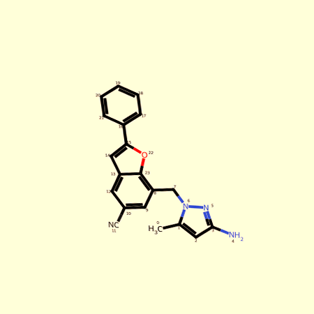 Cc1cc(N)nn1Cc1cc(C#N)cc2cc(-c3ccccc3)oc12